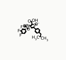 CC(C)Cc1ccc(-c2cc(NS(=O)(=O)c3ccc(F)c(F)c3F)c(C(=O)O)[s+]2[O-])cc1